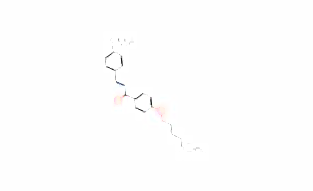 CCCCCCCCCCCCCCOc1ccc(C(=O)/C=C/c2ccc(SC)cc2)cc1